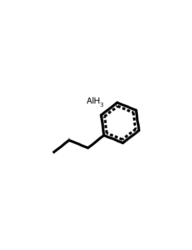 C[CH]Cc1ccccc1.[AlH3]